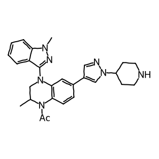 CC(=O)N1c2ccc(-c3cnn(C4CCNCC4)c3)cc2N(c2nn(C)c3ccccc23)CC1C